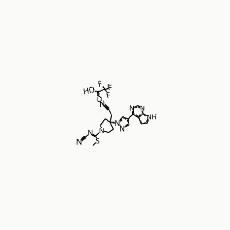 CSC(=NC#N)N1CCC(CC#N)(n2cc(-c3ncnc4[nH]ccc34)cn2)CC1.O=C(O)C(F)(F)F